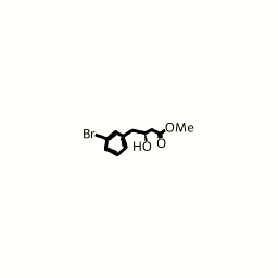 COC(=O)C[C@@H](O)Cc1cccc(Br)c1